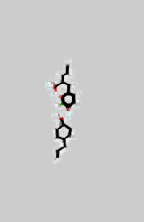 CCCC1CCC(C(=O)Oc2ccc3c(c2F)OC(=O)C(CCC)C3)CC1